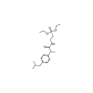 CCOP(=O)(CCNC(=O)C(C)c1ccc(CC(C)C)cc1)OCC